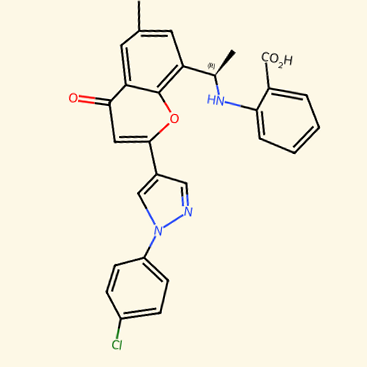 Cc1cc([C@@H](C)Nc2ccccc2C(=O)O)c2oc(-c3cnn(-c4ccc(Cl)cc4)c3)cc(=O)c2c1